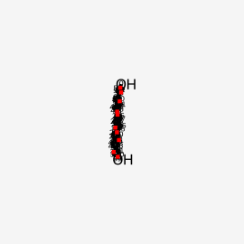 Oc1ccc(-c2ccc3c(c2)Cc2cc(-c4ccc5c(c4)Cc4cc(-c6ccc7c(c6)Cc6cc(-c8ccc(O)cc8)ccc6-7)ccc4-5)ccc2-3)cc1